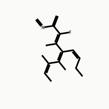 C=NC(=C)/C(F)=C(C)/C(/C=C\CC)=C(C)\C(C)=C/C